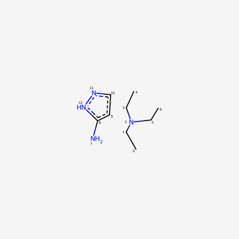 CCN(CC)CC.Nc1ccn[nH]1